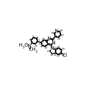 CN(C)c1cccc(-c2ccc3c(N4CCc5cc(Cl)ccc54)nc(-c4cccnc4)nc3c2)c1